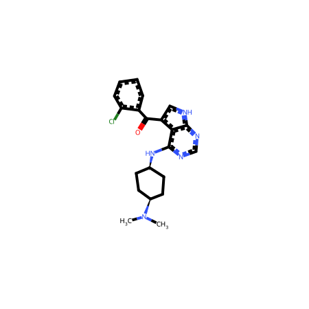 CN(C)[C@H]1CC[C@@H](Nc2ncnc3[nH]cc(C(=O)c4ccccc4Cl)c23)CC1